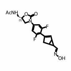 CC(=O)NC[C@H]1CN(c2cc(F)c(C3=CC4C(C=NO)C4C3)c(F)c2)C(=O)O1